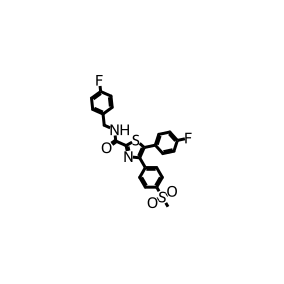 CS(=O)(=O)c1ccc(-c2nc(C(=O)NCc3ccc(F)cc3)sc2-c2ccc(F)cc2)cc1